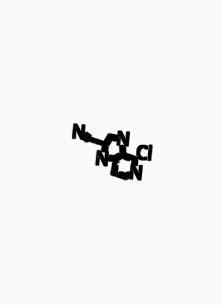 N#Cc1cnc2c(Cl)nccc2n1